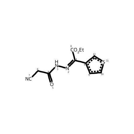 CCOC(=O)/C(=N\NC(=O)CC#N)c1ccsc1